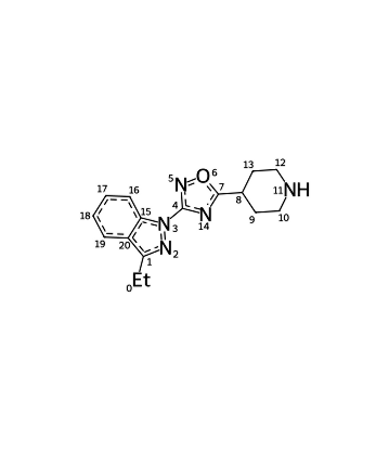 CCc1nn(-c2noc(C3CCNCC3)n2)c2ccccc12